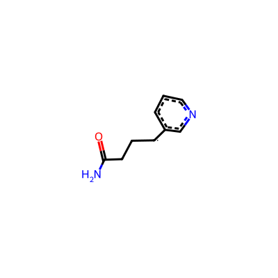 NC(=O)CC[CH]c1cccnc1